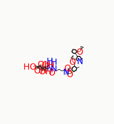 Cc1ccc(S(=O)(=O)N(C)CCCCNC(=O)NC[C@H](O)[C@@H](O)[C@H](O)[C@H](O)CO)cc1COC1(c2cnccc2-c2ccccc2OC2CC2)CC1